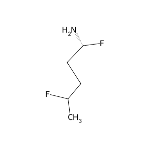 CC(F)CC[C@H](N)F